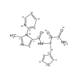 Cc1ncc(C(=O)NC(Cc2ccsc2)C(=O)C(N)=O)n1-c1ccccn1